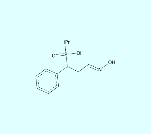 CC(C)P(=O)(O)C(CC=NO)c1ccccc1